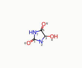 O=C1[N]C(O)C(=O)N1